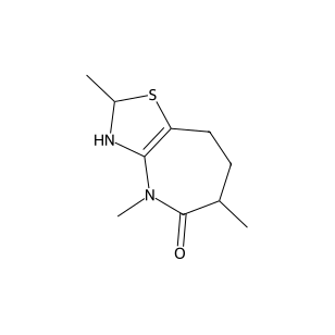 CC1NC2=C(CCC(C)C(=O)N2C)S1